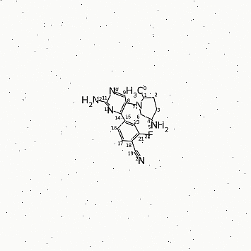 CC1CCC(N)CN1c1cnc(N)nc1-c1ccc(C#N)c(F)c1